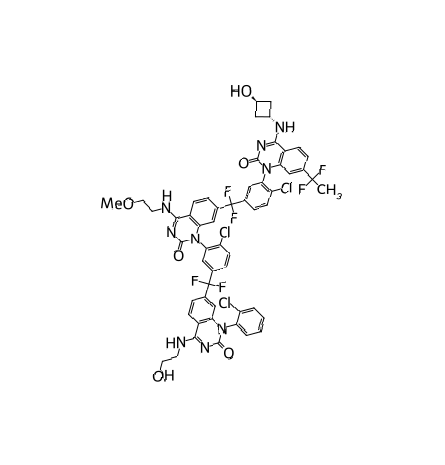 COCCNc1nc(=O)n(-c2cc(C(F)(F)c3ccc4c(NCCO)nc(=O)n(-c5ccccc5Cl)c4c3)ccc2Cl)c2cc(C(F)(F)c3ccc(Cl)c(-n4c(=O)nc(N[C@H]5C[C@H](O)C5)c5ccc(C(C)(F)F)cc54)c3)ccc12